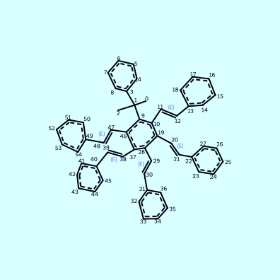 CC(C)(c1[c]cccc1)c1c(/C=C/c2ccccc2)c(/C=C/c2ccccc2)c(/C=C/c2ccccc2)c(/C=C/c2ccccc2)c1/C=C/c1ccccc1